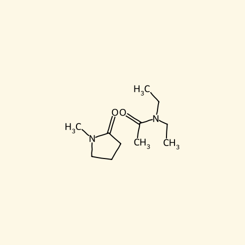 CCN(CC)C(C)=O.CN1CCCC1=O